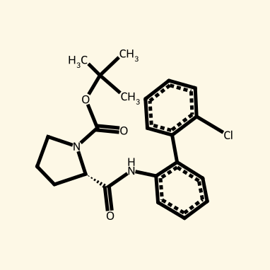 CC(C)(C)OC(=O)N1CCC[C@H]1C(=O)Nc1ccccc1-c1ccccc1Cl